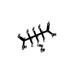 O=C(O)C(F)(F)C(F)(F)C(F)(F)C(=O)O.[Ag].[Ag]